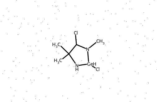 C[N]1C(Cl)C(C)(C)[NH][GeH]1[Cl]